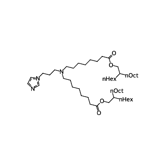 CCCCCCCCC(CCCCCC)COC(=O)CCCCCCCN(CCCCCCCC(=O)OCC(CCCCCC)CCCCCCCC)CCCn1ccnc1